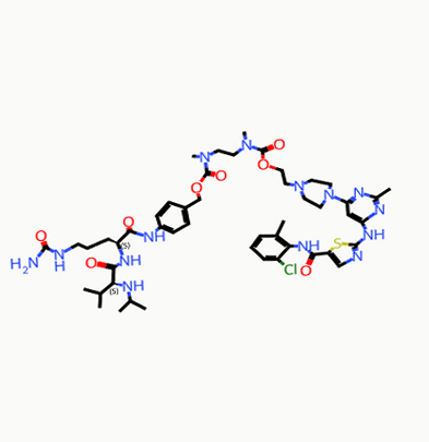 Cc1nc(Nc2ncc(C(=O)Nc3c(C)cccc3Cl)s2)cc(N2CCN(CCOC(=O)N(C)CCN(C)C(=O)OCc3ccc(NC(=O)[C@H](CCCNC(N)=O)NC(=O)[C@@H](NC(C)C)C(C)C)cc3)CC2)n1